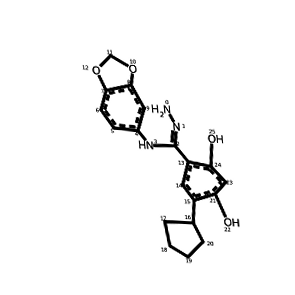 N/N=C(\Nc1ccc2c(c1)OCO2)c1cc(C2CCCC2)c(O)cc1O